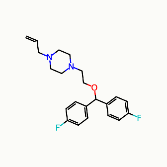 C=CCN1CCN(CCOC(c2ccc(F)cc2)c2ccc(F)cc2)CC1